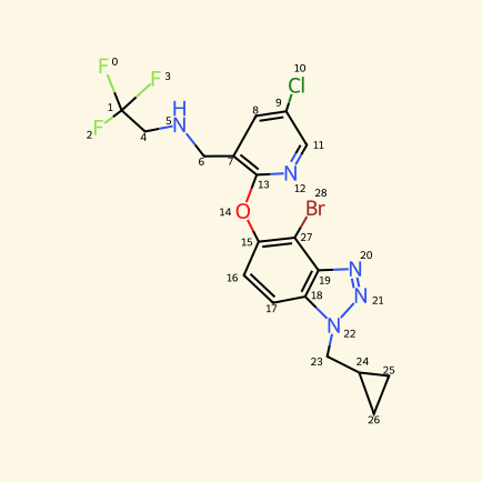 FC(F)(F)CNCc1cc(Cl)cnc1Oc1ccc2c(nnn2CC2CC2)c1Br